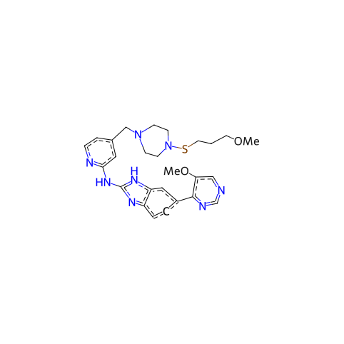 COCCCSN1CCN(Cc2ccnc(Nc3nc4ccc(-c5ncncc5OC)cc4[nH]3)c2)CC1